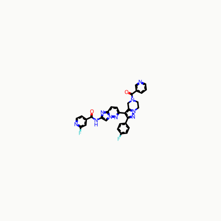 O=C(Nc1cn2nc(-c3c(-c4ccc(F)cc4)nn4c3CN(C(=O)c3cccnc3)CC4)ccc2n1)c1ccnc(F)c1